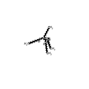 C=CCCCCCCCC(=O)NCC(C1CN(CCOC(=O)CCCCCCCC=C)C(CCCCCCCC=C)=N1)N1CCN=C1CCCCCCCC